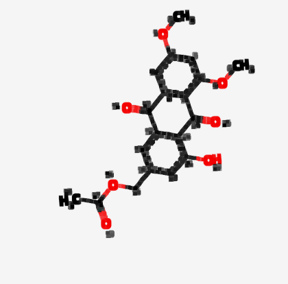 COc1cc(OC)c2c(c1)C(=O)c1cc(COC(C)=O)cc(O)c1C2=O